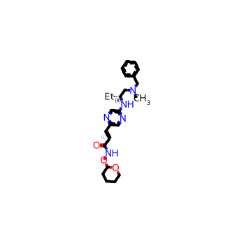 CC[C@H](CN(C)Cc1ccccc1)Nc1cnc(/C=C/C(=O)NOC2CCCCO2)cn1